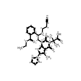 CCOC(=O)c1ccccc1[C@H](Cn1c(=O)n(C(C)(C)C(=O)O)c(=O)c2c(C)c(-n3nccn3)sc21)OCCC#N